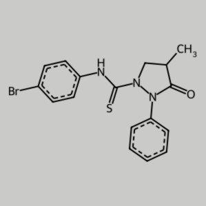 CC1CN(C(=S)Nc2ccc(Br)cc2)N(c2ccccc2)C1=O